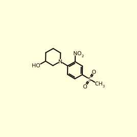 CS(=O)(=O)c1ccc(N2CCCC(O)C2)c([N+](=O)[O-])c1